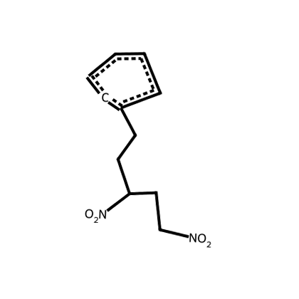 O=[N+]([O-])CCC(CCc1ccccc1)[N+](=O)[O-]